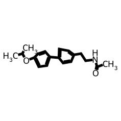 CC(=O)NCCc1ccc(-c2ccc(OC(C)C)cc2)cc1